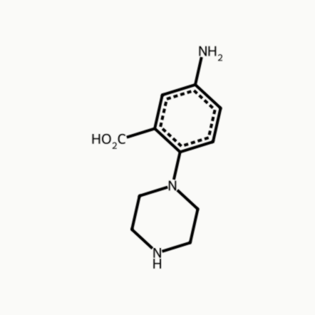 Nc1ccc(N2CCNCC2)c(C(=O)O)c1